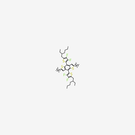 CCCCC(CC)Cc1sc(-c2c3c[c]([Sn]([CH3])([CH3])[CH3])sc3c(-c3sc(CC(CC)CCCC)c(F)c3F)c3c[c]([Sn]([CH3])([CH3])[CH3])sc23)c(F)c1F